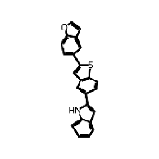 c1ccc2[nH]c(-c3ccc4sc(-c5ccc6occc6c5)cc4c3)cc2c1